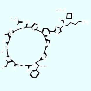 CNC(=O)C[C@@H]1NC(=O)c2csc(n2)-c2ccc(-c3nc(N(CCCCC(=O)O)C(=O)[C@H]4CC[C@H]4C(=O)O)cs3)nc2-c2csc(n2)-c2csc(n2)[C@H]([C@@H](O)c2ccccc2)NC(=O)CNC(=O)c2nc(sc2COC)[C@H](C(C)C)NC(=O)c2nc1sc2C